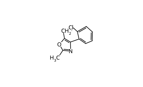 [CH2]c1oc(C)nc1-c1ccccc1Cl